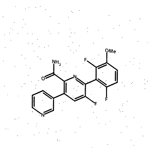 COc1ccc(F)c(-c2nc(C(N)=O)c(-c3cccnc3)cc2F)c1F